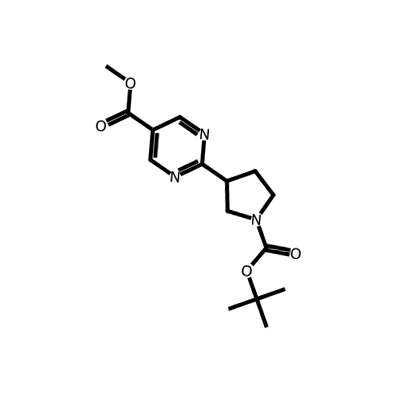 COC(=O)c1cnc(C2CCN(C(=O)OC(C)(C)C)C2)nc1